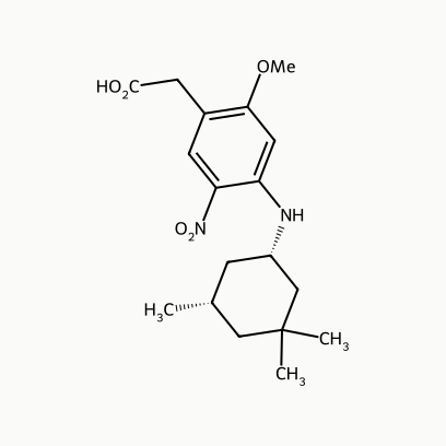 COc1cc(N[C@H]2C[C@@H](C)CC(C)(C)C2)c([N+](=O)[O-])cc1CC(=O)O